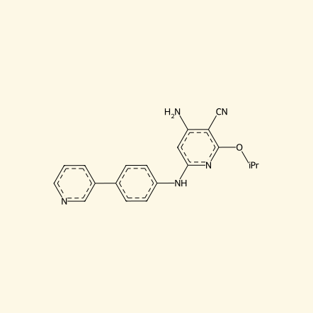 CC(C)Oc1nc(Nc2ccc(-c3cccnc3)cc2)cc(N)c1C#N